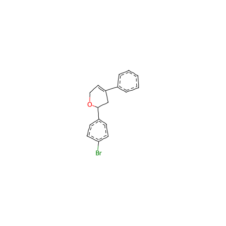 Brc1ccc(C2CC(c3ccccc3)=CCO2)cc1